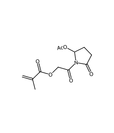 C=C(C)C(=O)OCC(=O)N1C(=O)CCC1OC(C)=O